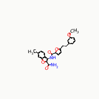 COc1cccc(CCc2ccc(C(=O)Nc3c(C(N)=O)oc4cc(C)ccc34)o2)c1